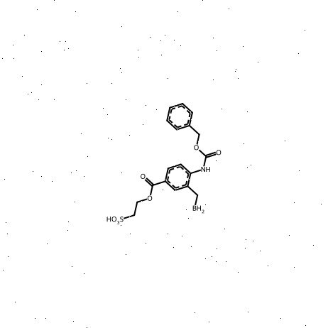 BCc1cc(C(=O)OCCS(=O)(=O)O)ccc1NC(=O)OCc1ccccc1